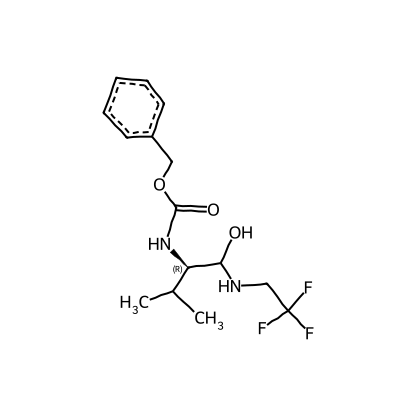 CC(C)[C@@H](NC(=O)OCc1ccccc1)C(O)NCC(F)(F)F